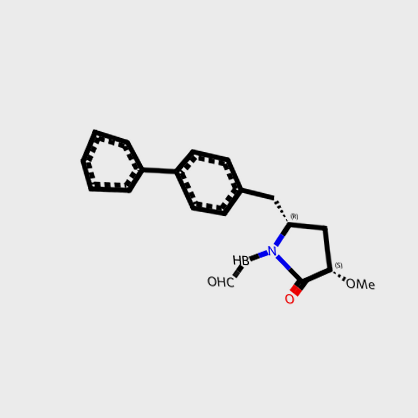 CO[C@H]1C[C@@H](Cc2ccc(-c3ccccc3)cc2)N(BC=O)C1=O